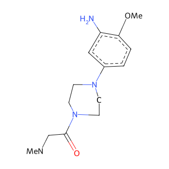 CNCC(=O)N1CCN(c2ccc(OC)c(N)c2)CC1